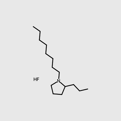 CCCCCCCCN1CCCC1CCC.F